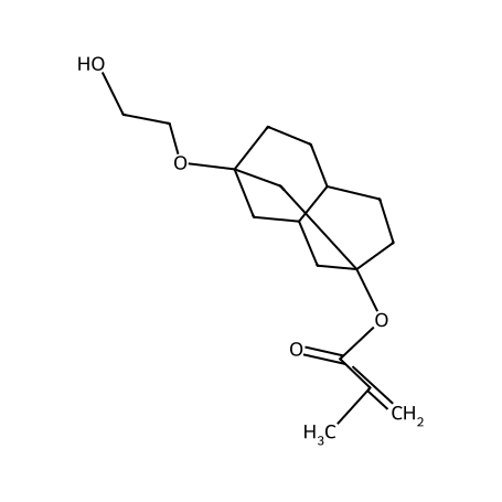 C=C(C)C(=O)OC12CCC3CCC(OCCO)(CC3C1)C2